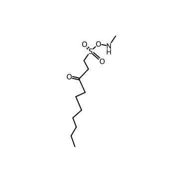 CCCCCCCC(=O)CCS(=O)(=O)ONC